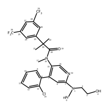 CCCN(CCO)c1cc(-c2ccccc2Cl)c(N(C)C(=O)C(C)(C)c2cc(C(F)(F)F)cc(C(F)(F)F)c2)cn1